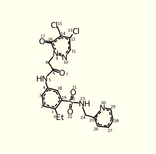 CCc1ccc(NC(=O)Cn2ncc(Cl)c(Cl)c2=O)cc1S(=O)(=O)NCc1ccccn1